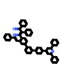 N=C(/C(=C1\NC(c2ccccc2)=Cc2cc(-c3cccc(-c4ccc(-c5cc(-c6ccccc6)nc(-c6ccccc6)c5)cc4)c3)ccc21)c1ccccc1)c1ccccc1